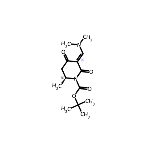 C[C@H]1CC(=O)/C(=C\N(C)C)C(=O)N1C(=O)OC(C)(C)C